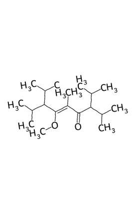 CO/C(=C(/C)C(=O)C(C(C)C)C(C)C)C(C(C)C)C(C)C